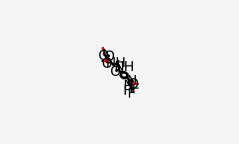 CCOC(=O)C(C)ONCC(C)NC(=O)c1ccc(-c2noc(C(F)(F)F)n2)cc1